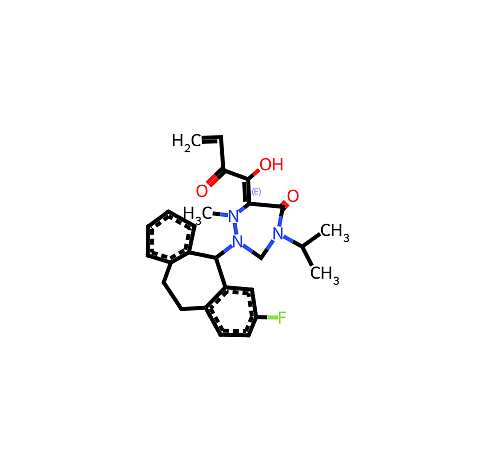 C=CC(=O)/C(O)=C1/C(=O)N(C(C)C)CN(C2c3ccccc3CCc3ccc(F)cc32)N1C